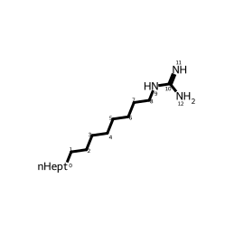 CCCCCCCCCCCCCCCNC(=N)N